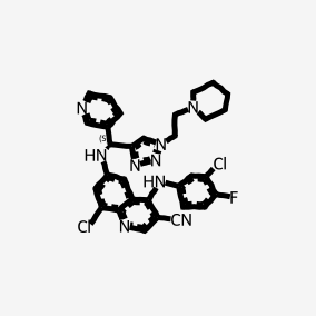 N#Cc1cnc2c(Cl)cc(N[C@@H](c3cccnc3)c3cn(CCN4CCCCC4)nn3)cc2c1Nc1ccc(F)c(Cl)c1